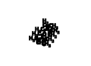 CC(OC(C)=C(N(C)C)N(C)C)=C(N(C)C)N(C)C